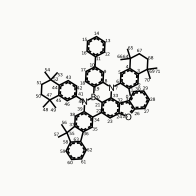 Cc1cc2c(cc1N1c3cc(-c4ccccc4)ccc3B3c4c(cc5oc6ccccc6c5c41)-c1cc4c(cc1N3c1ccc3c(c1)C(C)(C)CCC3(C)C)C(C)(C)c1ccccc1-4)C(C)(C)CCC2(C)C